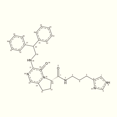 O=C(NCCCc1c[nH]cn1)[C@@H]1CCc2cnc(NCC(c3ccccc3)c3ccccc3)c(=O)n21